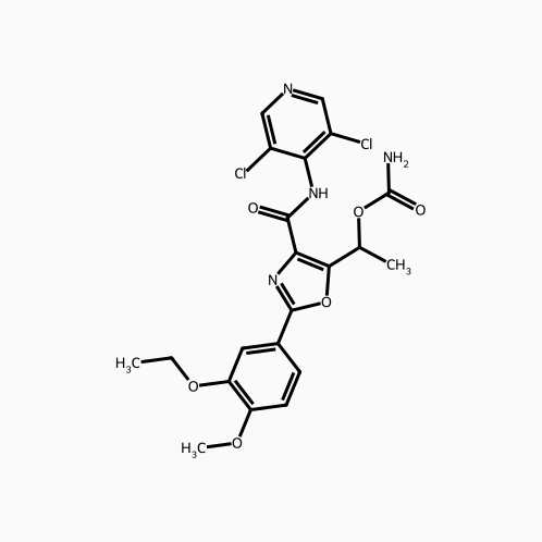 CCOc1cc(-c2nc(C(=O)Nc3c(Cl)cncc3Cl)c(C(C)OC(N)=O)o2)ccc1OC